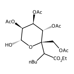 CCCCC(C(=O)OCC)[C@]1(COC(C)=O)O[C@H](O)[C@@H](OC(C)=O)[C@@H](OC(C)=O)[C@@H]1OC(C)=O